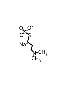 CN(C)CCCSS(=O)(=O)[O-].[Na+]